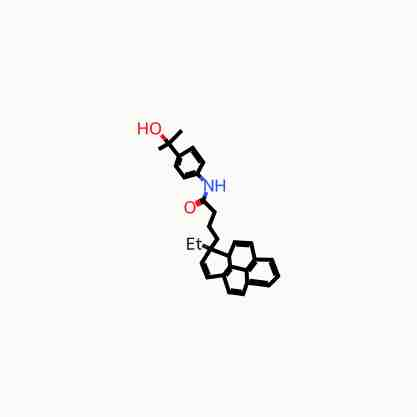 CCC1(CCCC(=O)Nc2ccc(C(C)(C)O)cc2)C=Cc2ccc3cccc4c3c2C1C=C4